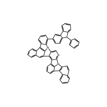 c1ccc(-n2c3ccccc3c3cc(-c4cccc5c6c7ccccc7cc7c8c9c%10cccc%11c%12c%13ccccc%13ccc%12n(c9ncc8n(c45)c76)c%11%10)ccc32)cc1